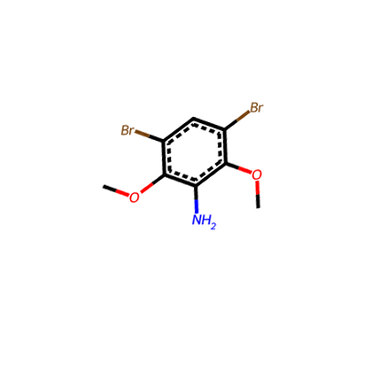 COc1c(Br)cc(Br)c(OC)c1N